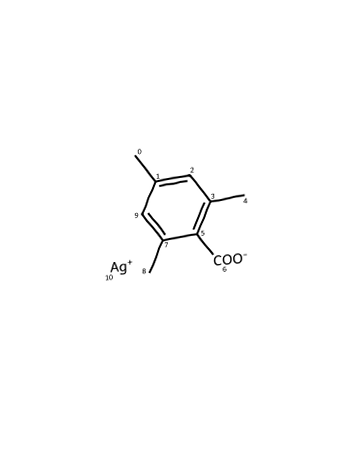 Cc1cc(C)c(C(=O)[O-])c(C)c1.[Ag+]